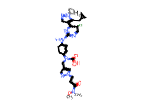 CON(C)C(=O)CCn1cc(CN(C(=O)O)C2CCC(Nc3ncc(Cl)c(-c4cnn(C)c4CC4CC4)n3)CC2)cn1